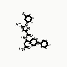 O=C(O)CC(NC(=O)c1cc(O)n(-c2cccc(F)c2)n1)c1ccc(-c2ccccc2)cc1